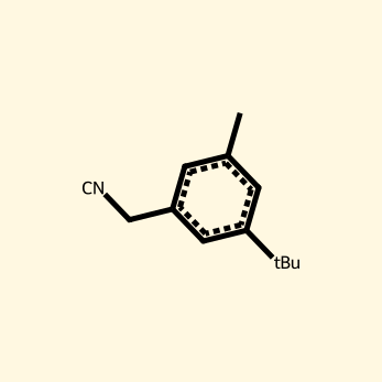 [C-]#[N+]Cc1cc(C)cc(C(C)(C)C)c1